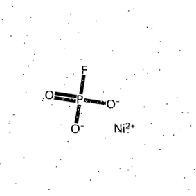 O=P([O-])([O-])F.[Ni+2]